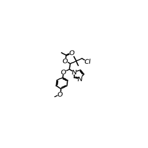 COc1ccc(OC(C(OC(C)=O)C(C)(C)CCl)n2ccnc2)cc1